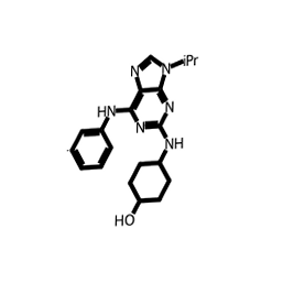 CC(C)n1cnc2c(Nc3c[c]ccc3)nc(NC3CCC(O)CC3)nc21